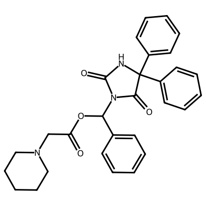 O=C(CN1CCCCC1)OC(c1ccccc1)N1C(=O)NC(c2ccccc2)(c2ccccc2)C1=O